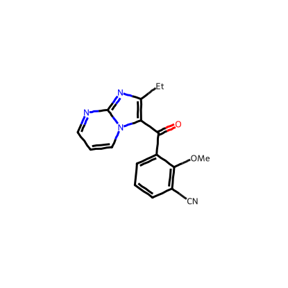 CCc1nc2ncccn2c1C(=O)c1cccc(C#N)c1OC